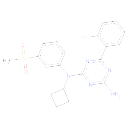 CS(=O)(=O)c1cccc(N(c2nc(N)nc(-c3ccccc3F)n2)C2CCC2)c1